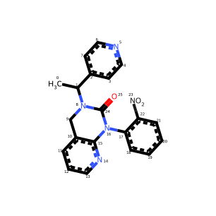 CC(c1ccncc1)N1Cc2cccnc2N(c2ccccc2[N+](=O)[O-])C1=O